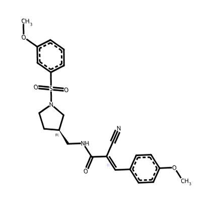 COc1ccc(/C=C(\C#N)C(=O)NC[C@H]2CCN(S(=O)(=O)c3cccc(OC)c3)C2)cc1